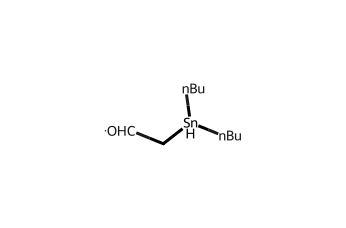 CCC[CH2][SnH]([CH2][C]=O)[CH2]CCC